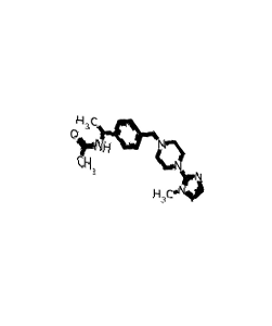 CC(=O)NC(C)c1ccc(CN2CCN(c3nccn3C)CC2)cc1